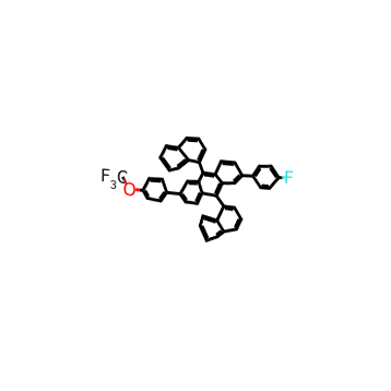 Fc1ccc(-c2ccc3c(-c4cccc5ccccc45)c4cc(-c5ccc(OC(F)(F)F)cc5)ccc4c(-c4cccc5ccccc45)c3c2)cc1